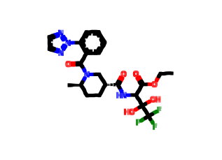 CCOC(=O)C(NC(=O)[C@@H]1CC[C@@H](C)N(C(=O)c2ccccc2-n2nccn2)C1)C(O)(O)C(F)(F)F